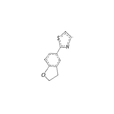 [c]1csc(-c2ccc3c(c2)CCO3)n1